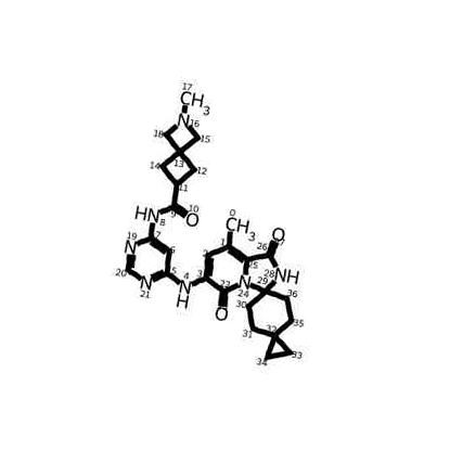 Cc1cc(Nc2cc(NC(=O)C3CC4(C3)CN(C)C4)ncn2)c(=O)n2c1C(=O)NC21CCC2(CC2)CC1